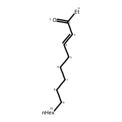 [CH2]CC(=O)/C=C/CCCCCCCCCCC